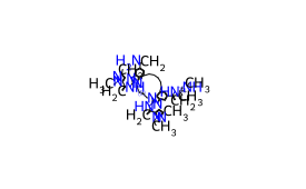 C=C(N)c1cc2c3c(c1)nc(NC(=C)c1cc(C)nn1CC)n3C/C=C/Cn1c(NC(=C)c3cc(C)nn3CC)nc3cc(C(=C)N/C(C)=C/NC)cc(c31)CCCCC2